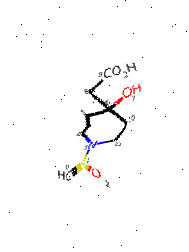 C#S(=O)N1CCC(O)(CC(=O)O)CC1